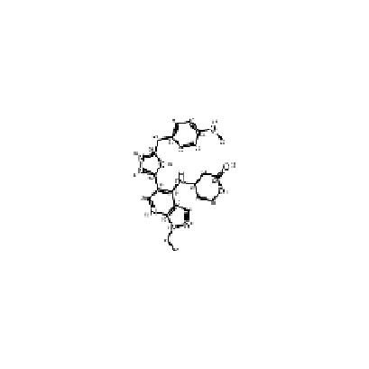 CCn1ncc2c(NC3CCOC(=O)C3)c(-c3nnc(Cc4ccc(OC)cc4)o3)cnc21